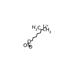 CC(C)CCCCCO[S-](=O)=O.[Li+]